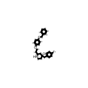 OC1(Cc2ccc(F)cc2)CCNC(CCOc2ccc(OCc3ccccc3)cc2)C1